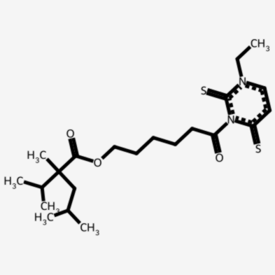 CCn1ccc(=S)n(C(=O)CCCCCOC(=O)C(C)(CC(C)C)C(C)C)c1=S